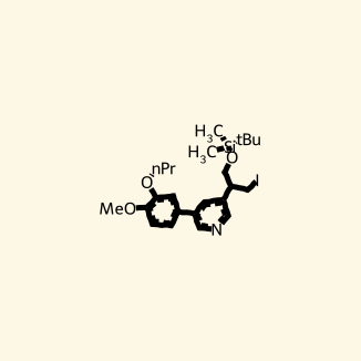 CCCOc1cc(-c2cncc(C(CI)CO[Si](C)(C)C(C)(C)C)c2)ccc1OC